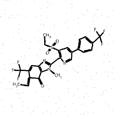 C/C=C1/C(=O)c2c(nc(-c3ncc(-c4ccc(C(F)(F)F)cc4)cc3S(=O)(=O)CC)n2C)C=C1C(F)(F)F